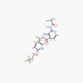 CC(C)C(=O)Nc1nccc2c1CN(C(C)c1ccc(OCCC(F)(F)F)nc1)C2=O